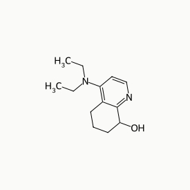 CCN(CC)c1ccnc2c1CCCC2O